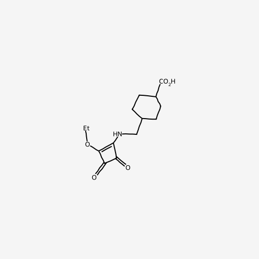 CCOc1c(NCC2CCC(C(=O)O)CC2)c(=O)c1=O